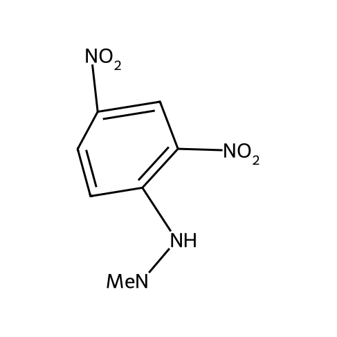 CNNc1ccc([N+](=O)[O-])cc1[N+](=O)[O-]